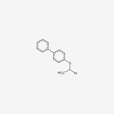 CCC(Oc1ccc(-c2ccccc2)cc1)C(=O)O